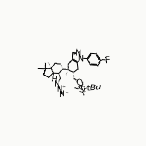 CC1(C)CC[C@H]2[C@H](CN=[N+]=[N-])[C@@H]([C@@]3(C)Cc4cnn(-c5ccc(F)cc5)c4C[C@@H]3CO[Si](C)(C)C(C)(C)C)CC[C@@]21C